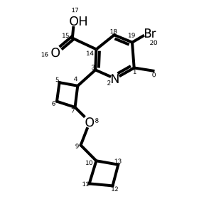 Cc1nc(C2CCC2OCC2CCC2)c(C(=O)O)cc1Br